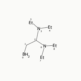 BCC(N(CC)CC)N(CC)CC